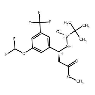 COC(=O)C[C@H](N[S@+]([O-])C(C)(C)C)c1cc(OC(F)F)cc(C(F)(F)F)c1